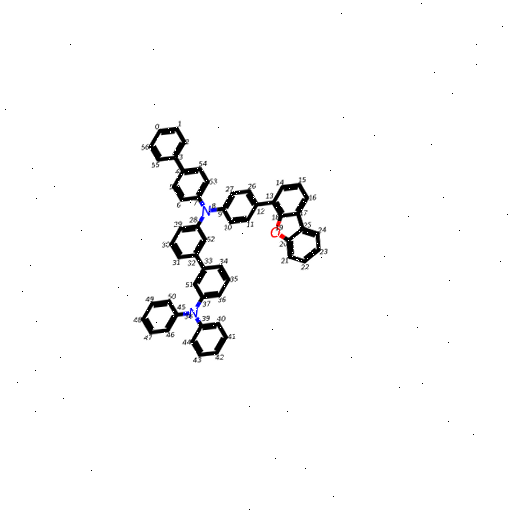 c1ccc(-c2ccc(N(c3ccc(-c4cccc5c4oc4ccccc45)cc3)c3cccc(-c4cccc(N(c5ccccc5)c5ccccc5)c4)c3)cc2)cc1